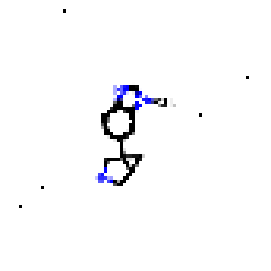 Cn1cnc2ccc(C34CNCC3C4)cc21